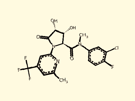 Cc1cc(C(F)(F)F)cc(N2C(=O)[C@H](O)[C@H](O)[C@H]2C(=O)N(C)c2ccc(F)c(Cl)c2)n1